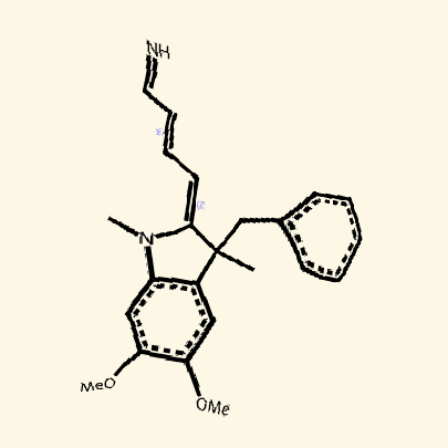 COc1cc2c(cc1OC)C(C)(Cc1ccccc1)/C(=C/C=C/C=N)N2C